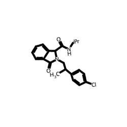 CC(C)NC(=O)C1c2ccccc2C(=O)N1CC(C)c1ccc(Cl)cc1